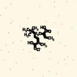 CC(=CCC[N+](C)(C)C)C(=O)O.CC=C(C)C(=O)O.[Cl-]